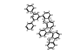 c1ccc(-c2cc(-c3cccc4c3sc3c4ccc4c3c3ccccc3n4-c3cccc4c3oc3ccccc34)cc(-c3ccccc3)n2)cc1